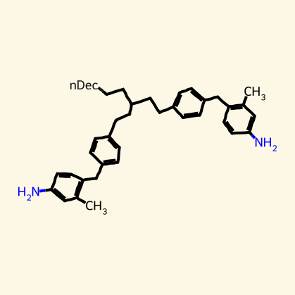 CCCCCCCCCCCCC(CCc1ccc(Cc2ccc(N)cc2C)cc1)CCc1ccc(Cc2ccc(N)cc2C)cc1